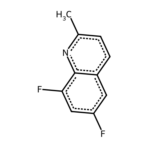 Cc1ccc2cc(F)cc(F)c2n1